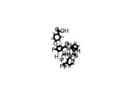 COc1cc(F)c(OC2CCC(C(=O)O)CC2)cc1C(=O)N[C@@H]1[C@H]2CC[C@H](C2)[C@@H]1C(=O)Nc1cc(C(F)(F)F)ccn1